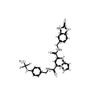 CC(F)(F)Oc1ccc(CNC(=O)c2cc(C(=O)NCc3ccc4oc(=O)[nH]c4c3)nc3ccnn23)cc1